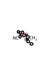 CC1Cc2oc3ccc(C4=CC=C(C#N)CC4N4c5ccccc5C5C=CC=CC54)cc3c2-c2oc3c(c21)CC(C1=CC=CCC1)C=C3